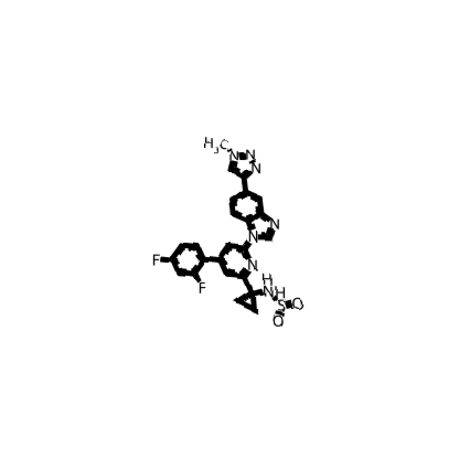 Cn1cc(-c2ccc3c(c2)ncn3-c2cc(-c3ccc(F)cc3F)cc(C3(N[SH](=O)=O)CC3)n2)nn1